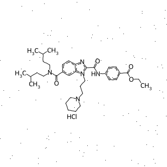 CCOC(=O)c1ccc(NC(=O)c2nc3ccc(C(=O)N(CCC(C)C)CCC(C)C)cc3n2CCCN2CCCCC2)cc1.Cl